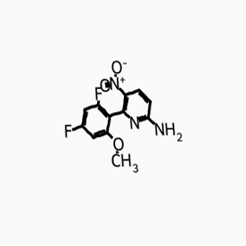 COc1cc(F)cc(F)c1-c1nc(N)ccc1[N+](=O)[O-]